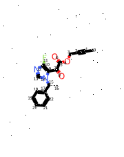 CC#CCOC(=O)C(=O)c1c(F)ncn1[C@H](C)c1ccccc1